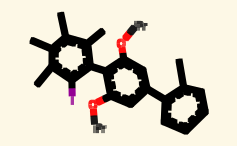 Cc1ccccc1-c1cc(OC(C)C)c(-c2c(C)c(C)c(C)c(C)c2I)c(OC(C)C)c1